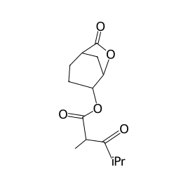 CC(C)C(=O)C(C)C(=O)OC1CCC2CC1OC2=O